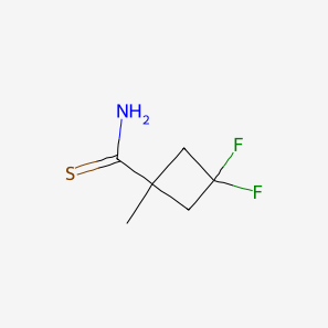 CC1(C(N)=S)CC(F)(F)C1